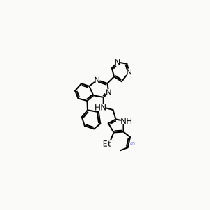 C/C=C\c1[nH]c(CNc2nc(-c3cncnc3)nc3cccc(-c4ccccc4)c23)cc1CC